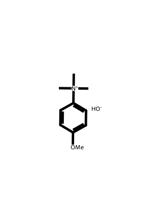 COc1ccc([N+](C)(C)C)cc1.[OH-]